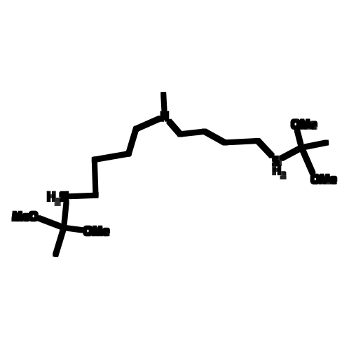 COC(C)(OC)[SiH2]CCCCN(C)CCCC[SiH2]C(C)(OC)OC